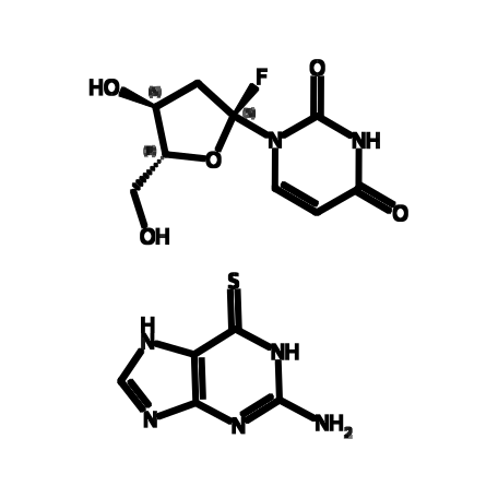 Nc1nc2nc[nH]c2c(=S)[nH]1.O=c1ccn([C@@]2(F)C[C@H](O)[C@@H](CO)O2)c(=O)[nH]1